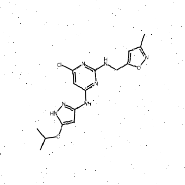 Cc1cc(CNc2nc(Cl)cc(Nc3cc(OC(C)C)[nH]n3)n2)on1